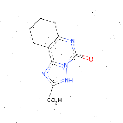 O=C(O)c1nc2c3c(nc(=O)n2[nH]1)CCCC3